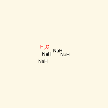 O.[NaH].[NaH].[NaH].[NaH]